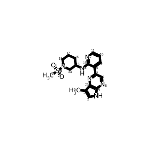 Cc1c[nH]c2ncc(-c3cccnc3NC3CCCN(S(C)(=O)=O)C3)nc12